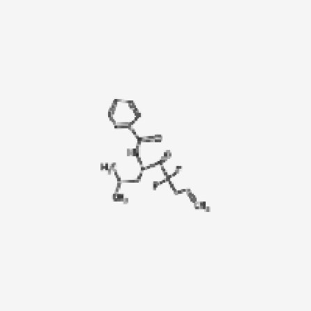 C=CCC(F)(F)C(=O)C(CC(C)C)NC(=O)c1ccccc1